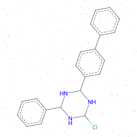 ClC1NC(c2ccccc2)NC(c2ccc(-c3ccccc3)cc2)N1